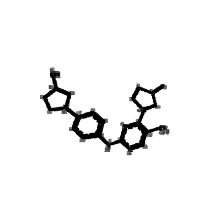 CC1CCN(c2nc(Nc3ccc(N4CCC(O)C4)cc3)ncc2C(F)(F)F)C1